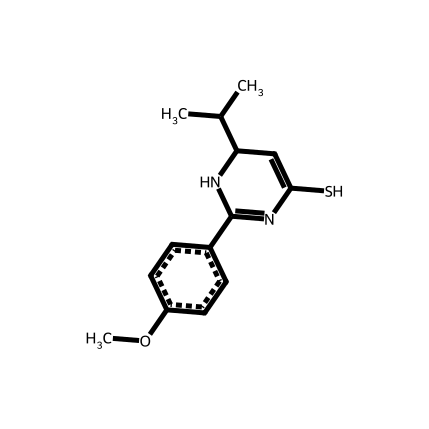 COc1ccc(C2=NC(S)=CC(C(C)C)N2)cc1